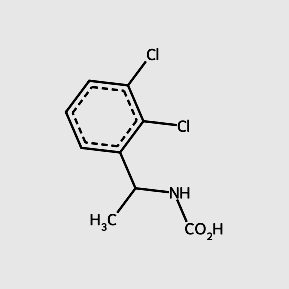 CC(NC(=O)O)c1cccc(Cl)c1Cl